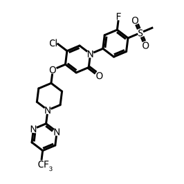 CS(=O)(=O)c1ccc(-n2cc(Cl)c(OC3CCN(c4ncc(C(F)(F)F)cn4)CC3)cc2=O)cc1F